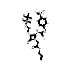 C=CCOC(=O)CN1C(=O)[C@H](CCO[Si](C)(C)C(C)(C)C)[C@H]1SC(=O)Oc1ccc([N+](=O)[O-])cc1